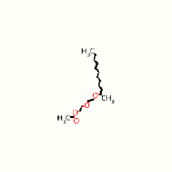 CCCCCCCCCCC(C)OCCOCCOC(C)=O